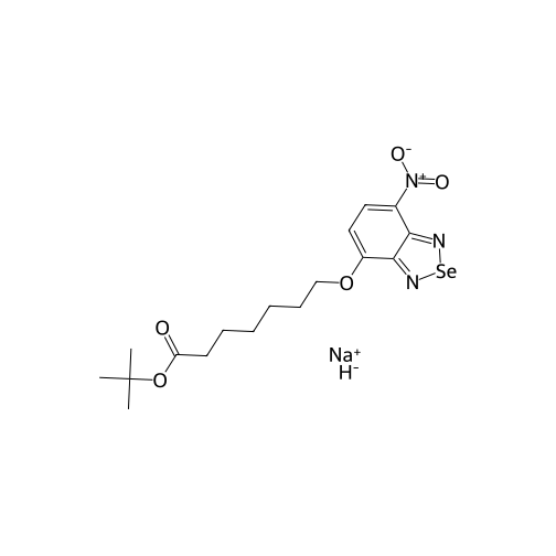 CC(C)(C)OC(=O)CCCCCCOc1ccc([N+](=O)[O-])c2n[se]nc12.[H-].[Na+]